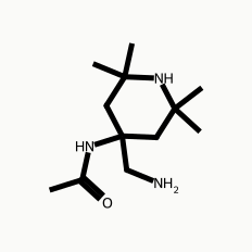 CC(=O)NC1(CN)CC(C)(C)NC(C)(C)C1